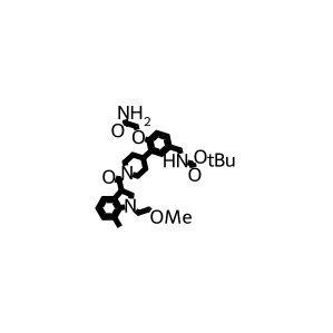 COCCN1CC(C(=O)N2CCC(c3cc(CNC(=O)OC(C)(C)C)ccc3OCC(N)=O)CC2)c2cccc(C)c21